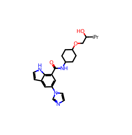 CC(C)C(O)COC1CCC(NC(=O)c2cc(-n3ccnc3)cc3cc[nH]c23)CC1